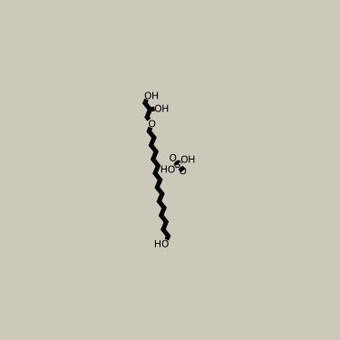 O=S(=O)(O)O.OCCCCCCCCCCCCCCCCOCC(O)CO